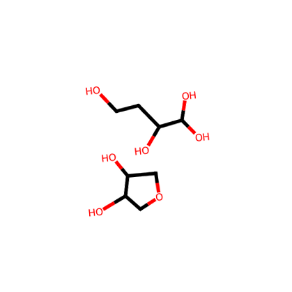 OC1COCC1O.OCCC(O)C(O)O